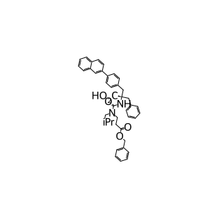 CC(C)CN(CCC(=O)OCc1ccccc1)C(=O)N[C@@](Cc1ccccc1)(Cc1ccc(-c2ccc3ccccc3c2)cc1)C(=O)O